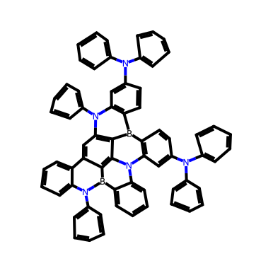 c1ccc(N2B3c4ccccc4N4c5cc(N(c6ccccc6)c6ccccc6)ccc5B5c6ccc(N(c7ccccc7)c7ccccc7)cc6N(c6ccccc6)c6cc(c3c4c65)-c3ccccc32)cc1